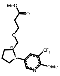 COC(=O)CCOC[C@@H]1CCCN1c1cnc(OC)c(C(F)(F)F)c1